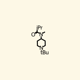 CC(C)C(=O)N(C)C1CCN(C(C)(C)C)CC1